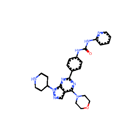 O=C(Nc1ccc(-c2nc(N3CCOCC3)c3cnn(C4CCNCC4)c3n2)cc1)Nc1ccccn1